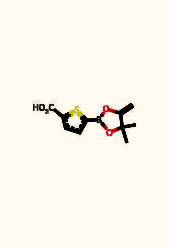 C=C1OB(c2ccc(C(=O)O)s2)OC1(C)C